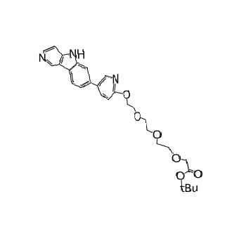 CC(C)(C)OC(=O)COCCOCCOCCOc1ccc(-c2ccc3c(c2)[nH]c2ccncc23)cn1